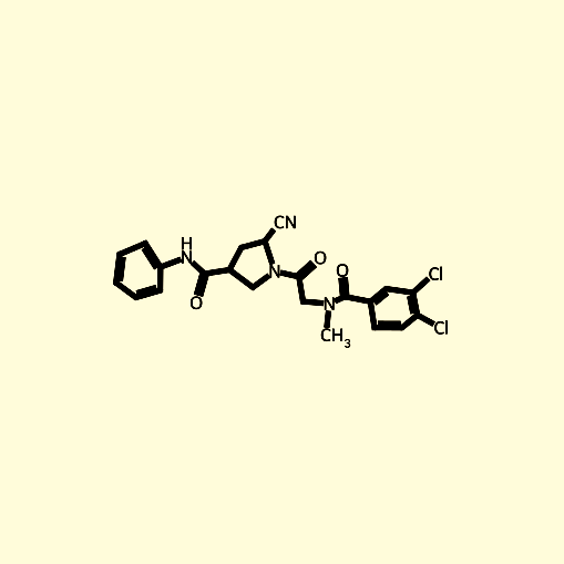 CN(CC(=O)N1CC(C(=O)Nc2ccccc2)CC1C#N)C(=O)c1ccc(Cl)c(Cl)c1